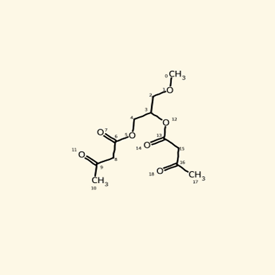 COCC(COC(=O)CC(C)=O)OC(=O)CC(C)=O